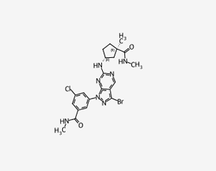 CNC(=O)c1cc(Cl)cc(-n2nc(Br)c3cnc(N[C@@H]4CC[C@@](C)(C(=O)NC)C4)nc32)c1